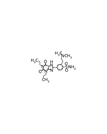 CCCn1c(=O)c2[nH]c(-c3ccc(S(N)(=O)=O)c(CCN(C)C)c3)nc2n(CCC)c1=O